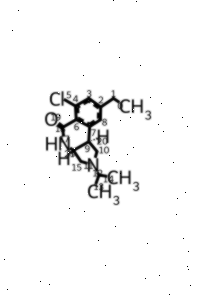 CCc1cc(Cl)c2c(c1)[C@H]1CN(C(C)C)C[C@@H]1NC2=O